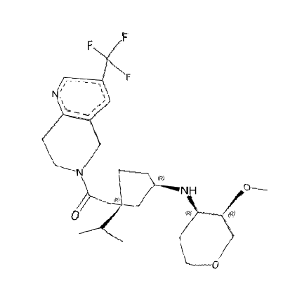 CO[C@H]1COCC[C@H]1N[C@@H]1CC[C@](C(=O)N2CCc3ncc(C(F)(F)F)cc3C2)(C(C)C)C1